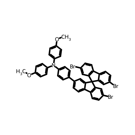 COc1ccc(N(c2ccc(OC)cc2)c2ccc(-c3ccc4c(c3)C3(c5cc(Br)ccc5-c5ccc(Br)cc53)c3cc(Br)ccc3-4)cc2)cc1